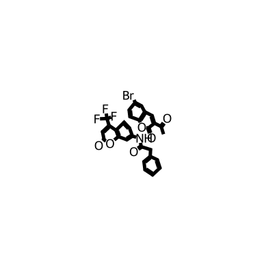 CC(=O)c1cc2cc(Br)ccc2oc1=O.O=C(Cc1ccccc1)Nc1ccc2c(C(F)(F)F)cc(=O)oc2c1